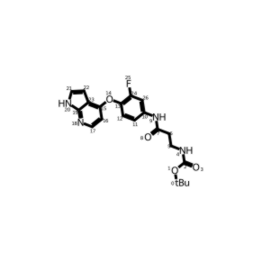 CC(C)(C)OC(=O)NCCC(=O)Nc1ccc(Oc2ccnc3[nH]ccc23)c(F)c1